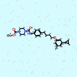 CC(C)(C)OC(=O)N1CCN(C(=O)Nc2ccc(CCCCOc3cc(F)cc(C4CC4)c3)cc2)CC1